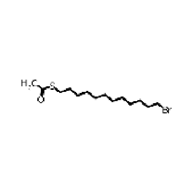 CC(=O)SCCCCCCCCCCCCBr